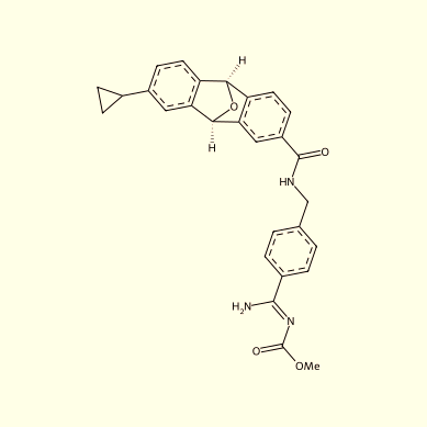 COC(=O)N=C(N)c1ccc(CNC(=O)c2ccc3c(c2)[C@@H]2O[C@H]3c3ccc(C4CC4)cc32)cc1